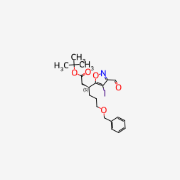 CC(C)(C)OC(=O)C[C@H](CCCOCc1ccccc1)c1onc(C=O)c1I